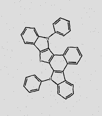 c1ccc(-n2c3ccccc3c3c4ccccc4c4c(sc5c6ccccc6n(-c6ccccc6)c54)c32)cc1